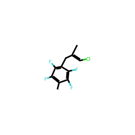 [CH2]c1c(F)c(F)c(CC(C)=CCl)c(F)c1F